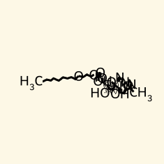 CCCCCCCCCCOCCCOP(=O)(O)OC[C@H]1O[C@@](C#N)(c2ccc3c(C)ncnn23)[C@H](O)[C@@H]1O